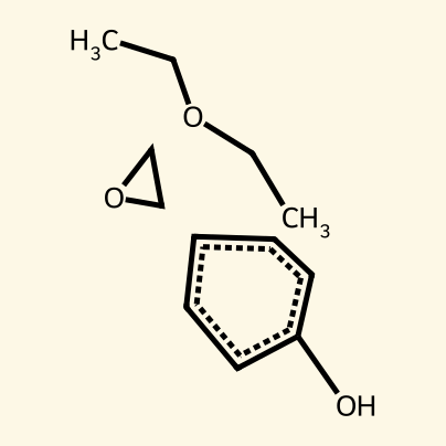 C1CO1.CCOCC.Oc1ccccc1